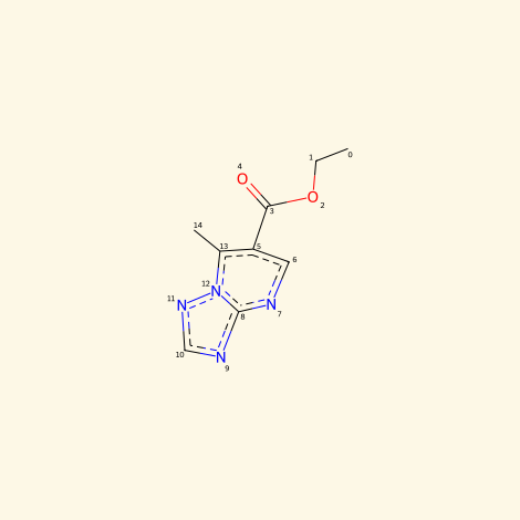 CCOC(=O)c1cnc2ncnn2c1C